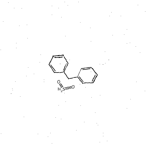 O=[SH2]=O.c1ccc(Cc2ccccc2)cc1